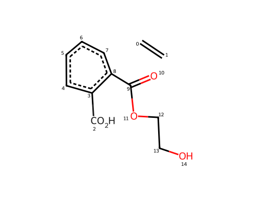 C=C.O=C(O)c1ccccc1C(=O)OCCO